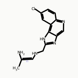 C/C(N)=C/NCc1nc2cnc3ccc(Cl)cc3c2[nH]1